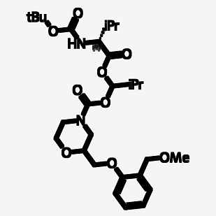 COCc1ccccc1OCC1CN(C(=O)OC(OC(=O)[C@H](NC(=O)OC(C)(C)C)C(C)C)C(C)C)CCO1